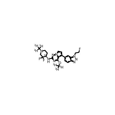 [2H]C([2H])([2H])Oc1nc(N[C@@H]2CCN(C([2H])([2H])[2H])CC2(F)F)nn2ccc(-c3ccc4nnn(CCF)c4c3)c12